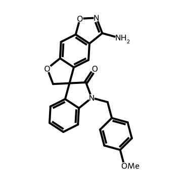 COc1ccc(CN2C(=O)C3(COc4cc5onc(N)c5cc43)c3ccccc32)cc1